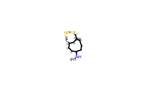 CC(C)NC1CCC[C@@H]2CSPSCC(CC1)C2